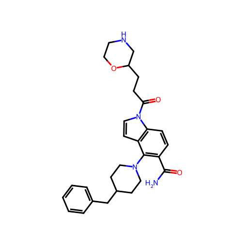 NC(=O)c1ccc2c(ccn2C(=O)CCC2CNCCO2)c1N1CCC(Cc2ccccc2)CC1